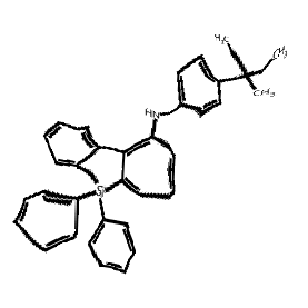 CC(C)(C)c1ccc(Nc2cccc3c2-c2ccccc2[Si]3(c2ccccc2)c2ccccc2)cc1